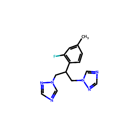 Cc1ccc(C(Cn2cncn2)Cn2cncn2)c(F)c1